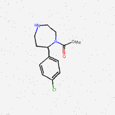 COC(=O)N1CCNCCC1c1ccc(Cl)cc1